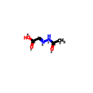 CC(=O)NN=CC(=O)O